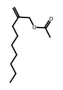 C=C(CCCCCCC)COC(C)=O